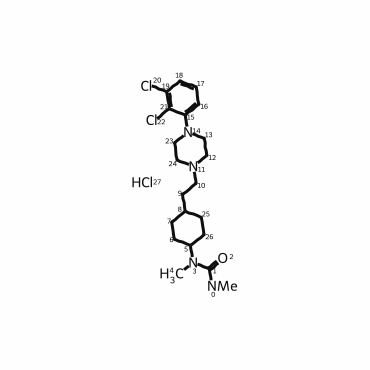 CNC(=O)N(C)C1CCC(CCN2CCN(c3cccc(Cl)c3Cl)CC2)CC1.Cl